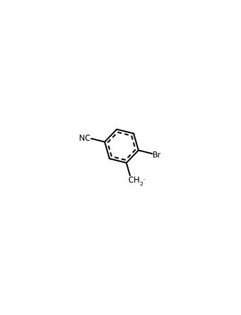 [CH2]c1cc(C#N)ccc1Br